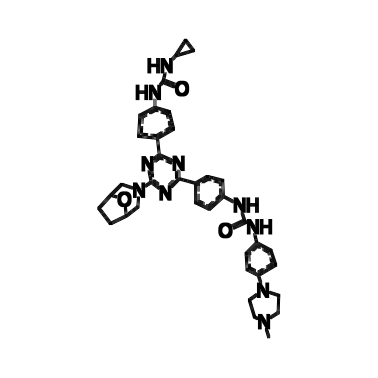 CN1CCN(c2ccc(NC(=O)Nc3ccc(-c4nc(-c5ccc(NC(=O)NC6CC6)cc5)nc(N5CC6CCC(C5)O6)n4)cc3)cc2)CC1